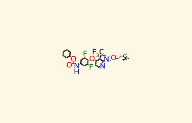 C[Si](C)(C)CCOCn1cc(C(F)(F)F)c2c(Oc3c(F)cc(NC(=O)Oc4ccccc4)cc3F)ccnc21